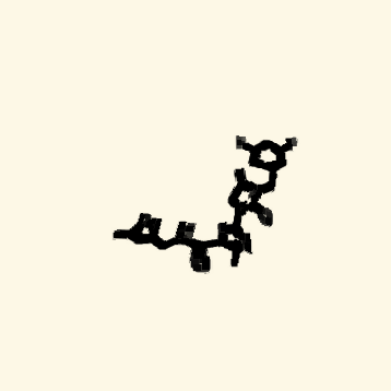 Cc1cc(CNC(=O)c2sc(N3C[C@@H](C)N(Cc4cc(F)cc(F)c4)C3=O)nc2C)no1